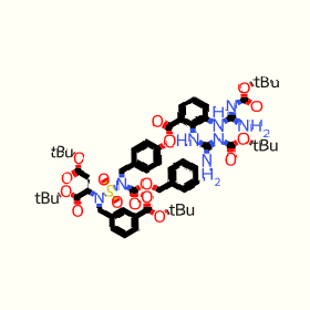 CC(C)(C)OC(=O)C[C@@H](C(=O)OC(C)(C)C)N(Cc1cccc(C(=O)OC(C)(C)C)c1)S(=O)(=O)N(Cc1ccc(OC(=O)c2cccc(NC(N)=NC(=O)OC(C)(C)C)c2NC(N)=NC(=O)OC(C)(C)C)cc1)C(=O)OCc1ccccc1